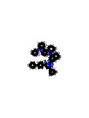 c1ccc(-c2ccc(-c3cc(-c4ccccc4)nc(-c4cc(-n5c6ccccc6c6c7c8ccccc8n(-c8ccccc8)c7ccc65)c5ccccc5c4)n3)cc2)cc1